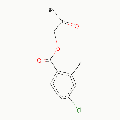 Cc1cc(Cl)ccc1C(=O)OCC(=O)C(C)C